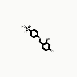 O=S(=O)(O)c1ccc(N=Cc2ccc(O)cc2O)cc1